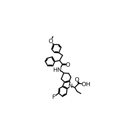 CCC(C(=O)O)n1c2c(c3cc(F)ccc31)CC(NC(=O)C(Cc1ccc(OC)cc1)c1ccccc1)CC2